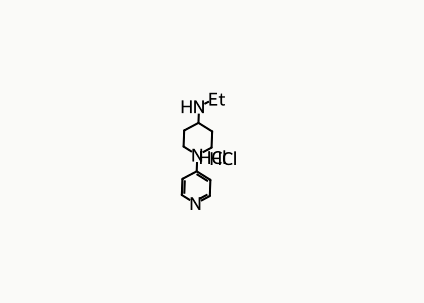 CCNC1CCN(c2ccncc2)CC1.Cl.Cl